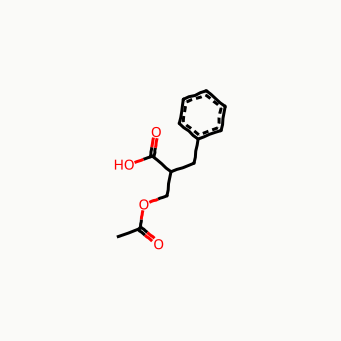 CC(=O)OCC(Cc1ccccc1)C(=O)O